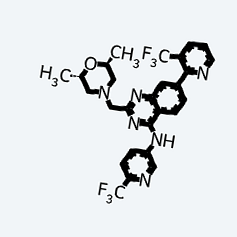 C[C@H]1CN(Cc2nc(Nc3ccc(C(F)(F)F)nc3)c3ccc(-c4ncccc4C(F)(F)F)cc3n2)C[C@H](C)O1